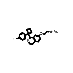 CC(=O)NCCOc1ccc2c(c1)C(C1(c3ccc(Cl)cc3)CCC1)=NCC2